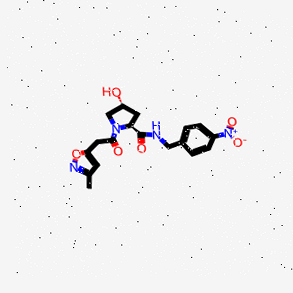 Cc1cc(CC(=O)N2C[C@H](O)C[C@H]2C(=O)NCc2ccc([N+](=O)[O-])cc2)on1